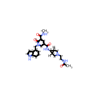 CNC(=O)c1cc(C(=O)N[C@H]2[C@@H]3CN(CCNC(C)=O)C[C@@H]32)cn(Cc2cccc3[nH]ccc23)c1=O